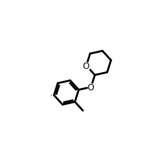 Cc1c[c]ccc1OC1CCCCO1